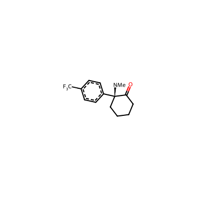 CN[C@]1(c2ccc(C(F)(F)F)cc2)CCCCC1=O